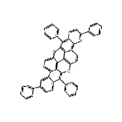 c1ccc(-c2ccc3c(-c4ccccc4)c4oc5ccc6c7cc(-c8ccccc8)ccc7c(-c7ccccc7)c7oc8ccc(c3c2)c4c8-c5c76)cc1